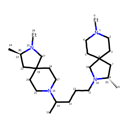 CCN1CCC2(CC1)C[C@H](C)N(CCCC(C)N1CCC3(CC1)C[C@@H](C)N(CC)C3)C2